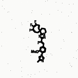 COc1cc(/C=C(\F)c2nc3n(n2)CCCC32/C=C/C(F)=C(F)\C(F)=C/C2)ccc1-n1cnc(C)c1